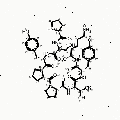 C[C@@H](O)[C@H](NC(=O)[C@@H]1CCCN1C(=O)[C@@H]1CCCN1C(=O)[C@H](Cc1ccc(O)cc1)NC(=O)[C@H](CO)NC(=O)[C@@H]1CCCN1)C(=O)N[C@@H](Cc1ccc(O)cc1)C(=O)N[C@@H](CCCCN)C(=O)O